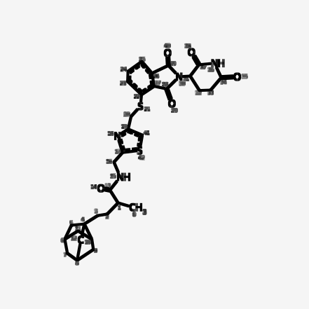 CC(CCC12CC3CC(CC1C3)C2)C(=O)NCc1nc(CSc2cccc3c2C(=O)N(C2CCC(=O)NC2=O)C3=O)cs1